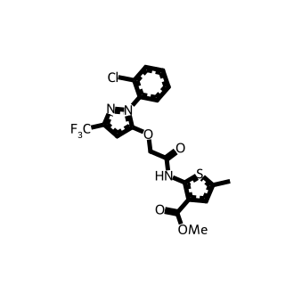 COC(=O)c1cc(C)sc1NC(=O)COc1cc(C(F)(F)F)nn1-c1ccccc1Cl